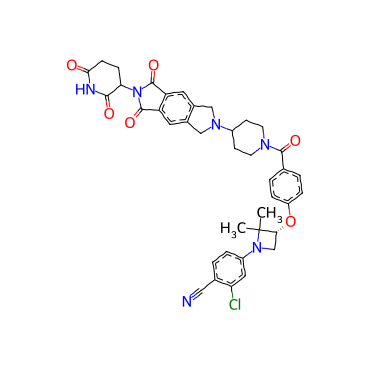 CC1(C)[C@H](Oc2ccc(C(=O)N3CCC(N4Cc5cc6c(cc5C4)C(=O)N(C4CCC(=O)NC4=O)C6=O)CC3)cc2)CN1c1ccc(C#N)c(Cl)c1